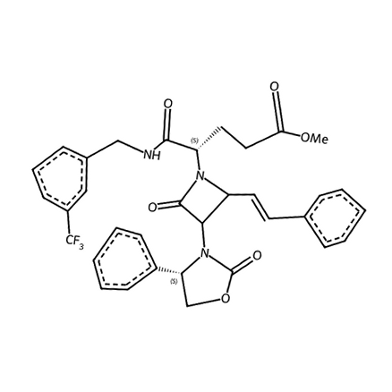 COC(=O)CC[C@@H](C(=O)NCc1cccc(C(F)(F)F)c1)N1C(=O)C(N2C(=O)OC[C@@H]2c2ccccc2)C1C=Cc1ccccc1